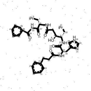 CC(C)C[C@H](NC(=O)C[C@H](O)[C@H](CC(C)C)NC(=O)[C@H](Cc1c[nH]cn1)NC(=O)CCc1ccccc1)C(=O)NC(=O)c1ccccc1